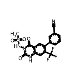 CS(=O)(=O)Nn1c(=O)[nH]c2cc(C(F)(F)F)c(-c3cccc(C#N)c3)cc2c1=O